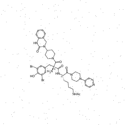 CC(=O)NCCCC[C@H](NC(=O)[C@](N)(Cc1cc(Br)c(O)c(Br)c1)C(=O)N1CCC(N2Cc3ccccc3NC2=O)CC1)C(=O)N1CCN(c2ccncc2)CC1